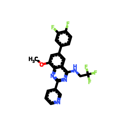 COc1cc(-c2ccc(F)c(F)c2)cc2c(NCC(F)(F)F)nc(-c3cccnc3)nc12